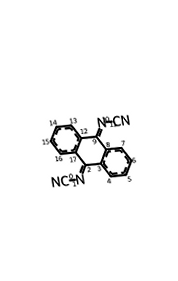 N#CN=C1c2ccccc2C(=NC#N)c2ccccc21